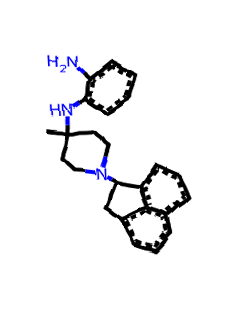 CC1(Nc2ccccc2N)CCN(C2Cc3cccc4cccc2c34)CC1